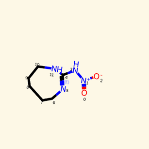 O=[N+]([O-])N/C1=N/CCCCCN1